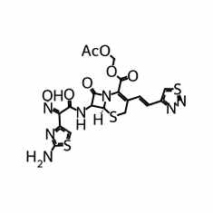 CC(=O)OCOC(=O)C1=C(/C=C/c2csnn2)CS[C@H]2C(NC(=O)/C(=N\O)c3csc(N)n3)C(=O)N12